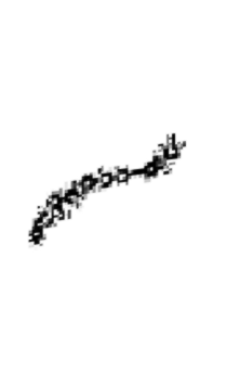 C[C@H]1CC(N2CCC(C#Cc3ccc4c(c3)C(=O)N(C3CCC(=O)NC3=O)C4=O)CC2)CCN1c1ccc(Nc2cc(-c3ccnc(N4CCn5c(cc6c5CC(C)(C)C6)C4=O)c3CO)cn(C)c2=O)nc1